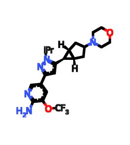 CC(C)n1nc(-c2cnc(N)c(OC(F)(F)F)c2)cc1[C@H]1[C@@H]2CC(N3CCOCC3)C[C@@H]21